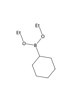 CCOB(OCC)C1CCCCC1